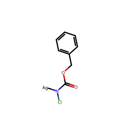 O=C(OCc1ccccc1)[N](Cl)[Ag]